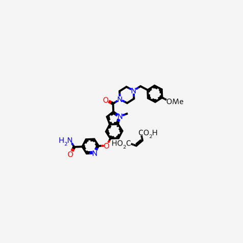 COc1ccc(CN2CCN(C(=O)c3cc4cc(Oc5ccc(C(N)=O)cn5)ccc4n3C)CC2)cc1.O=C(O)/C=C\C(=O)O